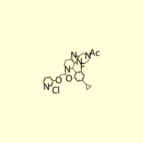 CC(=O)N1CCn2c(nc3c2C(c2ccc(C4CC4)cc2F)N(C(=O)COc2cccnc2Cl)CC3)C1